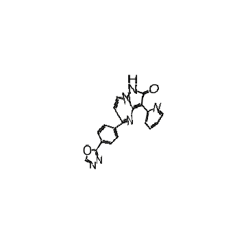 O=c1[nH]n2ccc(-c3ccc(-c4nnco4)cc3)nc2c1-c1ccccn1